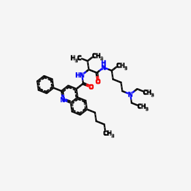 CCCCc1ccc2nc(-c3ccccc3)cc(C(=O)NC(C(=O)NC(C)CCCN(CC)CC)C(C)C)c2c1